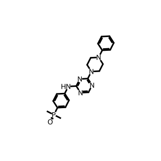 CP(C)(=O)c1ccc(Nc2ncnc(N3CCN(c4ccccc4)CC3)n2)cc1